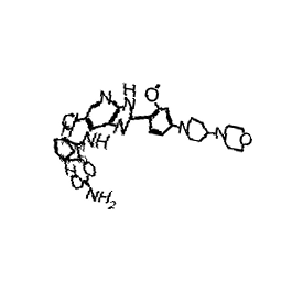 COc1cc(N2CCC(N3CCOCC3)CC2)ccc1-c1nc2c(N[C@H]3[C@@H](OC(N)=O)[C@@H]4C=C[C@H]3C4)c(Cl)cnc2[nH]1